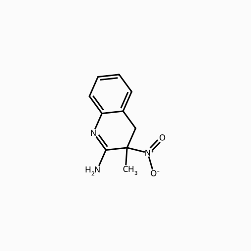 CC1([N+](=O)[O-])Cc2ccccc2N=C1N